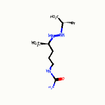 CC(C)[C@H](NN[C@@H](CCCNC(N)=O)C(=O)O)C(=O)O